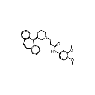 COc1ccc(NC(=O)CCN2CCCC(=C3c4ccccc4C=Cc4ccccc43)C2)cc1OC